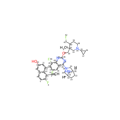 C#Cc1c(F)ccc2cc(O)cc(-c3c(F)cc4c(N5C[C@H]6CC[C@@H](C5)N6)nc(OCC5(C)CN(C6CC6)CCC5CF)nc4c3F)c12